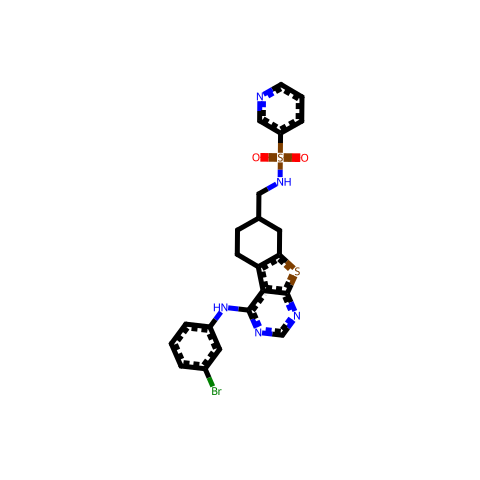 O=S(=O)(NCC1CCc2c(sc3ncnc(Nc4cccc(Br)c4)c23)C1)c1cccnc1